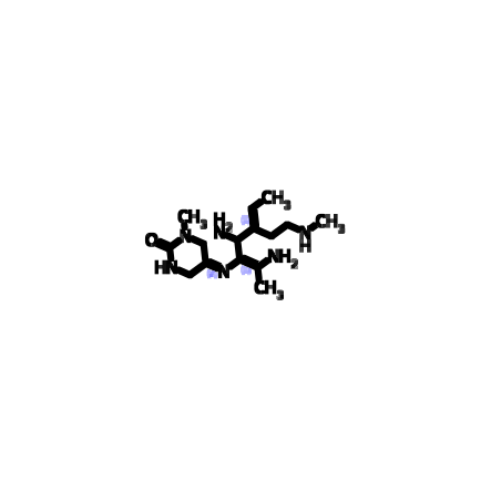 C/C=C(\CCNC)C(N)C(/N=C1/CNC(=O)N(C)C1)=C(/C)N